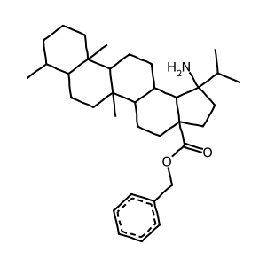 CC1CCCC2(C)C1CCC1(C)C3CCC4(C(=O)OCc5ccccc5)CCC(N)(C(C)C)C4C3CCC21